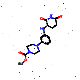 CC(C)(C)OC(=O)N1CCN(c2cccc(NC3CCC(=O)NC3=O)c2)CC1